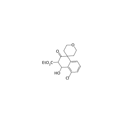 CCOC(=O)C1C(=O)C2(CCOCC2)c2cccc(Cl)c2C1O